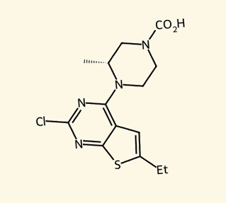 CCc1cc2c(N3CCN(C(=O)O)C[C@H]3C)nc(Cl)nc2s1